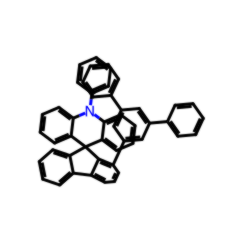 c1ccc(-c2cc(-c3ccccc3)cc(-c3cccc4c3C3(c5ccccc5-4)c4ccccc4N(c4ccccc4)c4ccccc43)c2)cc1